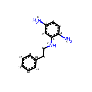 Nc1ccc(N)c(NCCc2ccccc2)c1